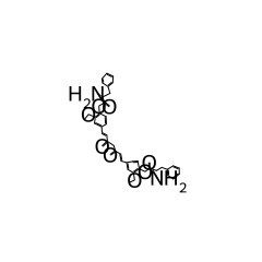 COc1cc(/C=C/C(=O)CC(=O)/C=C/c2ccc(OC(=O)[C@@H](N)Cc3ccccc3)c(OC)c2)ccc1OC(=O)[C@@H](N)Cc1ccccc1